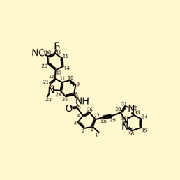 Cc1ccc(C(=O)Nc2ccc3c(-c4ccc(F)c(C#N)c4)cn(C)c3c2)cc1C#Cc1cnc2cccnn12